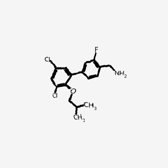 CC(C)COc1c(Cl)cc(Cl)cc1-c1ccc(CN)c(F)c1